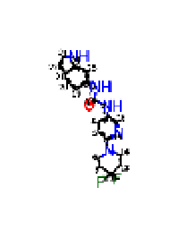 O=C(Nc1ccc(N2CCC(F)(F)CC2)nc1)Nc1ccc2cc[nH]c2c1